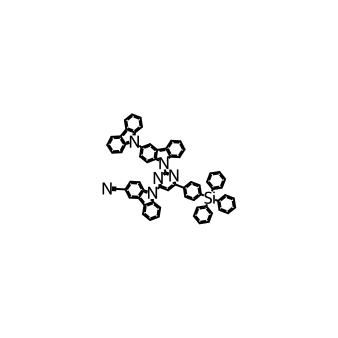 N#Cc1ccc2c(c1)c1ccccc1n2-c1cc(-c2ccc([Si](c3ccccc3)(c3ccccc3)c3ccccc3)cc2)nc(-n2c3ccccc3c3cc(-n4c5ccccc5c5ccccc54)ccc32)n1